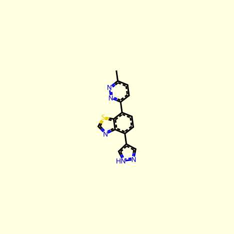 Cc1ccc(-c2ccc(-c3cn[nH]c3)c3ncsc23)nn1